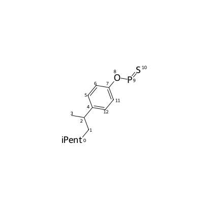 CCCC(C)CC(C)c1ccc(OP=S)cc1